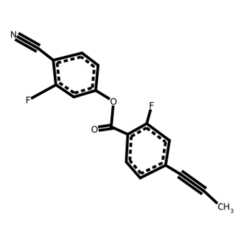 CC#Cc1ccc(C(=O)Oc2ccc(C#N)c(F)c2)c(F)c1